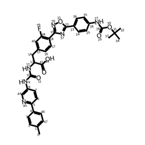 Cc1ccc(-c2ccc(NC(=O)NC(Cc3ccc(-c4noc(-c5ccc(NC(=O)OC(C)(C)C)cc5)n4)c(F)c3)C(=O)O)cn2)cc1